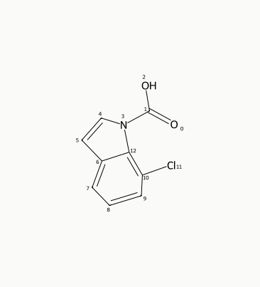 O=C(O)n1ccc2cccc(Cl)c21